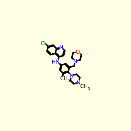 Cc1cc(Nc2ccnc3cc(Cl)ccc23)cc(CN2CCOCC2)c1N1CCN(C)CC1